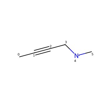 CC#CC[N]C